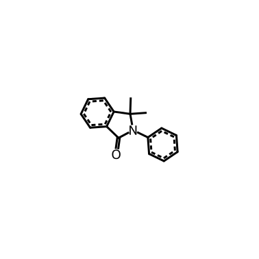 CC1(C)c2ccccc2C(=O)N1c1ccccc1